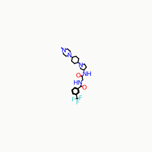 CN1CCN(C2CCC(N3CC[C@@H](NC(=O)CNC(=O)c4cccc(C(F)(F)F)c4)C3)CC2)CC1